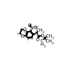 CN(C(=O)OC(C)(C)C)c1ccc2c(c1[N+](=O)[O-])OCCO2